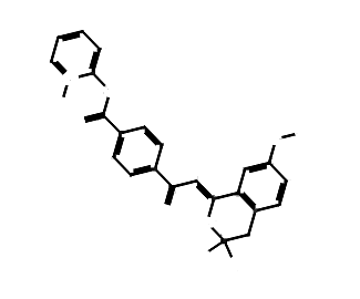 COc1ccc2c(c1)/C(=C/C(=O)c1ccc(C(=O)Nc3cccc[n+]3[O-])cc1)NC(C)(C)C2